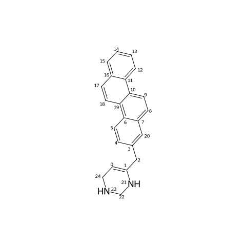 C1=C(Cc2ccc3c(ccc4c5ccccc5ccc34)c2)NCNC1